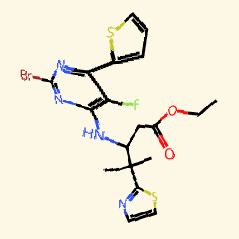 CCOC(=O)CC(Nc1nc(Br)nc(-c2cccs2)c1F)C(C)(C)c1nccs1